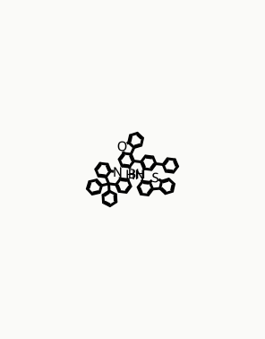 B1c2cccc3c2N(c2ccccc2C3(c2ccccc2)c2ccccc2)c2cc3oc4ccccc4c3c(-c3ccc(-c4ccccc4)cc3Nc3cccc4c3sc3ccccc34)c21